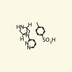 Cc1ccc(S(=O)(=O)O)cc1.c1cnnc(N2C[C@@H]3C[C@H]2CN3)c1